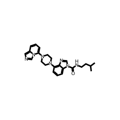 CC(C)CCNC(=O)n1cnc2c(N3CCN(c4cccc5cncn45)CC3)cccc21